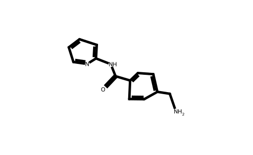 NCc1ccc(C(=O)Nc2ccccn2)cc1